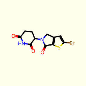 O=C1CCC(N2Cc3cc(Br)sc3C2=O)C(=O)N1